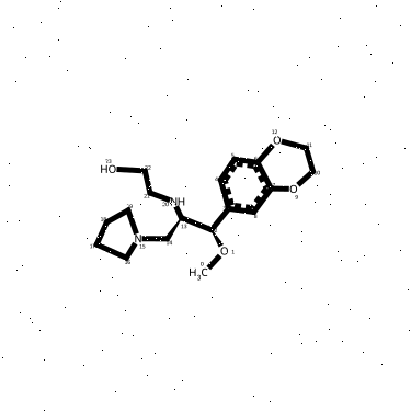 CO[C@H](c1ccc2c(c1)OCCO2)[C@@H](CN1CCCC1)NCCO